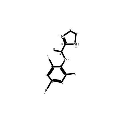 Cc1cc(F)cc(I)c1OC(C)C1=NCCN1